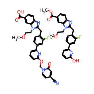 COCCn1c(Cc2ccc(-c3cccc(O)n3)cc2F)nc2ccc(C(=O)OC)cc21.COCCn1c(Cc2ccc(-c3cccc(OCn4ccc(C#N)cc4=O)n3)cc2F)nc2ccc(C(=O)O)cc21